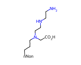 CCCCCCCCCCCCN(CCNCCN)CC(=O)O